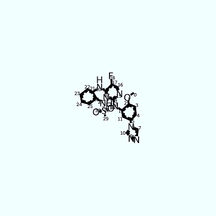 COc1ccc(-n2cnnc2)cc1Nc1ncc(F)c(Nc2ccccc2NS(C)(=O)=O)n1